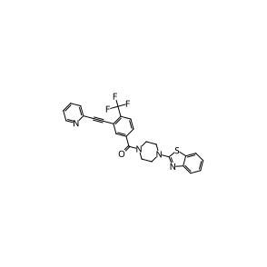 O=C(c1ccc(C(F)(F)F)c(C#Cc2ccccn2)c1)N1CCN(c2nc3ccccc3s2)CC1